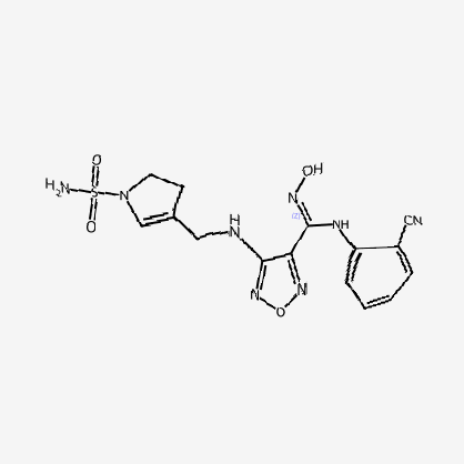 N#Cc1ccccc1N/C(=N\O)c1nonc1NCC1=CN(S(N)(=O)=O)CC1